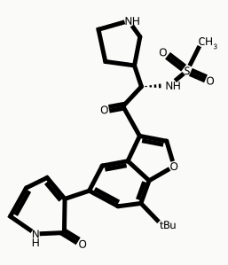 CC(C)(C)c1cc(-c2ccc[nH]c2=O)cc2c(C(=O)[C@@H](NS(C)(=O)=O)C3CCNC3)coc12